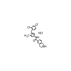 Cc1cc(NC(=O)c2ccc3c(c2)CCNC3)nn1Cc1ccc(Cl)cc1Cl.Cl